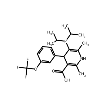 CC1=C(C(=O)O)C(c2cccc(OC(F)(F)F)c2)C(P(C(C)C)C(C)C)=C(C)N1